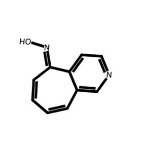 ON=c1ccccc2cnccc12